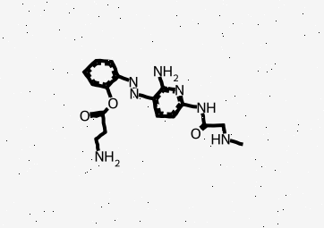 CNCC(=O)Nc1ccc(/N=N/c2ccccc2OC(=O)CCN)c(N)n1